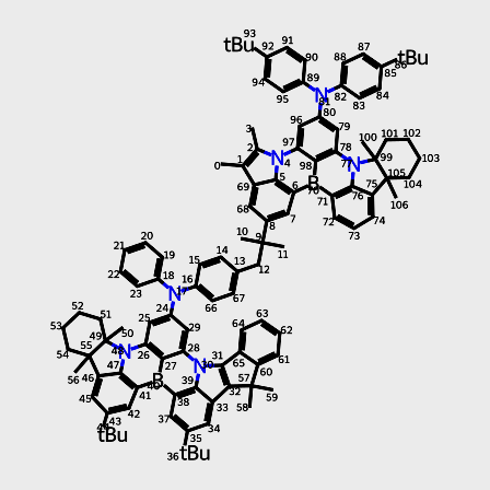 Cc1c(C)n2c3c(cc(C(C)(C)Cc4ccc(N(c5ccccc5)c5cc6c7c(c5)-n5c8c(c9cc(C(C)(C)C)cc(c95)B7c5cc(C(C)(C)C)cc7c5N6C5(C)CCCCC75C)C(C)(C)c5ccccc5-8)cc4)cc13)B1c3cccc4c3N(c3cc(N(c5ccc(C(C)(C)C)cc5)c5ccc(C(C)(C)C)cc5)cc-2c31)C1(C)CCCCC41C